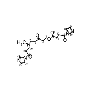 CN(CCC(=O)CCOC(=O)CCC(=O)n1ccnc1)CCC(=O)n1ccnc1